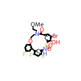 COCCN1CCOc2ccc(F)cc2-c2cc(c(F)cc2F)NS(=O)(=O)c2cc(cc(Br)c2O)C1=O